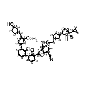 COc1nc(-c2cccc(-c3cccc(-c4nc5c(=N)n(CCN6CC[C@@H](C(=O)NS(=O)(=O)C7CC7)C6)cc(C#N)c5o4)c3Cl)c2Cl)cnc1CN1CC[C@@H](O)C1